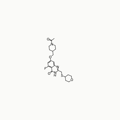 CC(=O)N1CCC(COc2cc(F)c3c(=O)[nH]c(CSC4CCOCC4)nc3c2)CC1